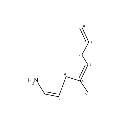 C=CC/C=C(/C)C/C=C\N